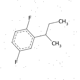 CCC(C)c1cc(F)ccc1F